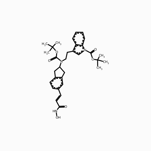 CC(C)(C)OC(=O)N(CCc1cn(C(=O)OC(C)(C)C)c2ccccc12)C1Cc2ccc(C=CC(=O)NO)cc2C1